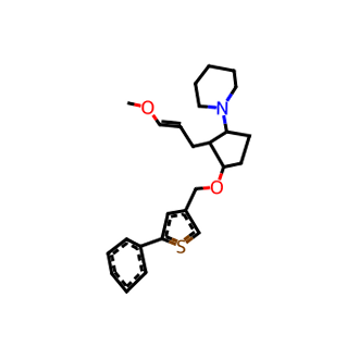 COC=CCC1C(OCc2csc(-c3ccccc3)c2)CCC1N1CCCCC1